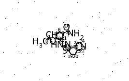 CC(C)Oc1ccc(C(N)=O)cc1Nc1nc2c(s1)CCc1cnccc1-2